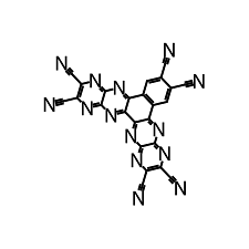 N#Cc1cc2c(cc1C#N)c1nc3nc(C#N)c(C#N)nc3nc1c1nc3nc(C#N)c(C#N)nc3nc21